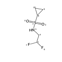 O=S(=O)(NCC(F)F)C1CC1